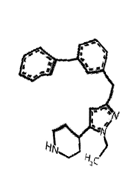 CCn1nc(Cc2cccc(-c3ccccc3)c2)cc1C1CCNCC1